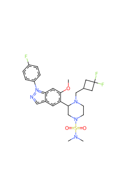 COc1cc2c(cnn2-c2ccc(F)cc2)cc1C1CN(S(=O)(=O)N(C)C)CCN1CC1CC(F)(F)C1